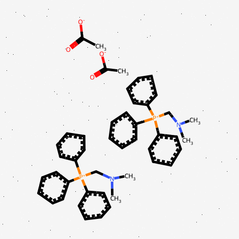 CC(=O)[O-].CC(=O)[O-].CN(C)C[P+](c1ccccc1)(c1ccccc1)c1ccccc1.CN(C)C[P+](c1ccccc1)(c1ccccc1)c1ccccc1